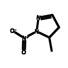 CC1CC=NN1[N+](=O)[O-]